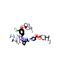 C=C(/N=C(\ON)c1ccc(OC(C)C)c(Cl)c1)c1cccc2c(CN3CCC(C(=O)OCC)CC3)c[nH]c12